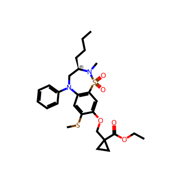 CCCC[C@@H]1CN(c2ccccc2)c2cc(SC)c(OCC3(C(=O)OCC)CC3)cc2S(=O)(=O)N1C